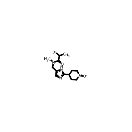 CC(Br)C(=O)N(C)Cc1cnc(C2CC[S+]([O-])CC2)[nH]1